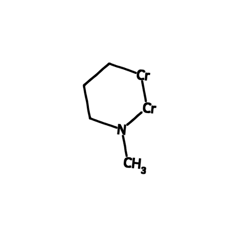 C[N]1CC[CH2][Cr][Cr]1